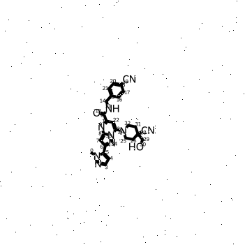 Cn1nccc1-c1cc2nc(C(=O)NCc3ccc(C#N)cc3)cc(N3CCC(C#N)(CO)CC3)n2n1